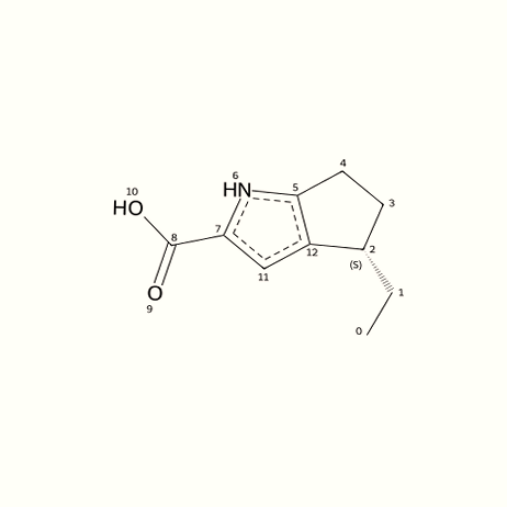 CC[C@H]1CCc2[nH]c(C(=O)O)cc21